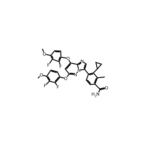 COc1ccc(Oc2cc(Oc3ccc(OC)c(F)c3F)c3ncc(-c4ccc(C(N)=O)c(C)c4C4CC4)n3n2)c(F)c1F